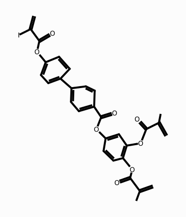 C=C(C)C(=O)Oc1ccc(OC(=O)c2ccc(-c3ccc(OC(=O)C(=C)I)cc3)cc2)cc1OC(=O)C(=C)C